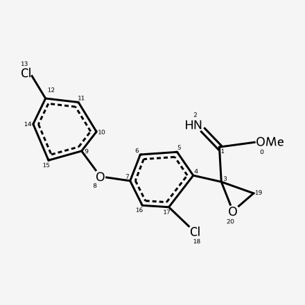 COC(=N)C1(c2ccc(Oc3ccc(Cl)cc3)cc2Cl)CO1